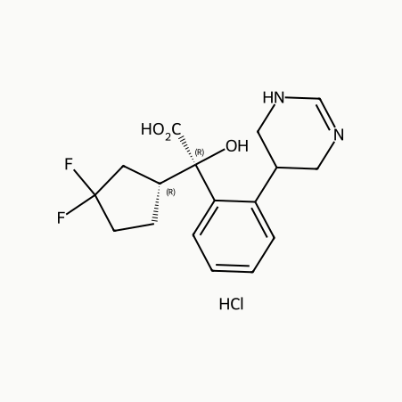 Cl.O=C(O)[C@](O)(c1ccccc1C1CN=CNC1)[C@@H]1CCC(F)(F)C1